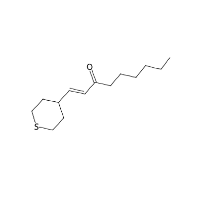 CCCCCCC(=O)C=CC1CCSCC1